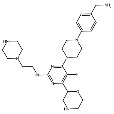 NCc1ccc(N2CCN(c3nc(NCCN4CCNCC4)nc(C4CNCCO4)c3F)CC2)cc1